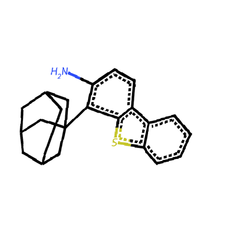 Nc1ccc2c(sc3ccccc32)c1C12CC3CC(CC(C3)C1)C2